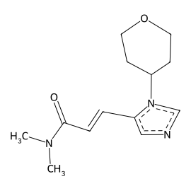 CN(C)C(=O)/C=C/c1cncn1C1CCOCC1